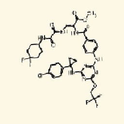 COC(=O)[C@H](CNC(=O)C(=O)NC1CCC(F)(F)CC1)NC(=O)c1ccc(Nc2nc(NC3(c4ccc(Cl)cc4)CC3)nc(OCC(F)(F)F)n2)cc1